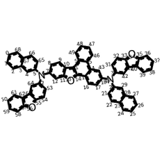 c1ccc2cc(N(c3ccc4c(c3)oc3c5ccc(N(c6ccc7ccccc7c6)c6ccc7oc8ccccc8c7c6)cc5c5ccccc5c43)c3ccc4oc5ccccc5c4c3)ccc2c1